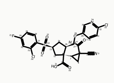 N#CC1(C(N)=O)CC1[C@]1(C(=O)O)C[C@@H](S(=O)(=O)c2ccc(F)cc2Cl)C[C@H]1COc1ccc(Cl)nc1